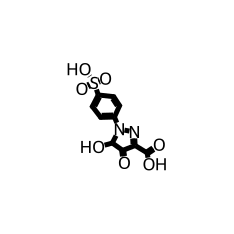 O=C(O)C1=NN(c2ccc(S(=O)(=O)O)cc2)C(O)C1=O